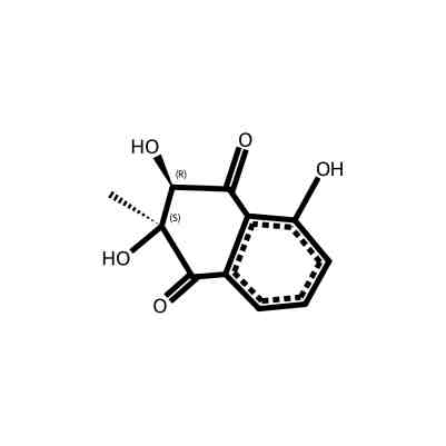 C[C@@]1(O)C(=O)c2cccc(O)c2C(=O)[C@@H]1O